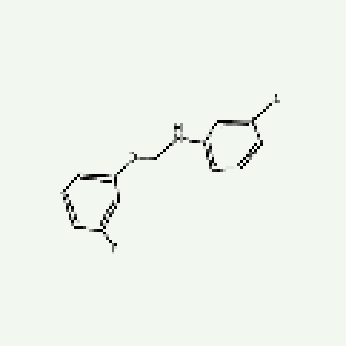 Fc1cccc(OCNc2cccc(Cl)c2)c1